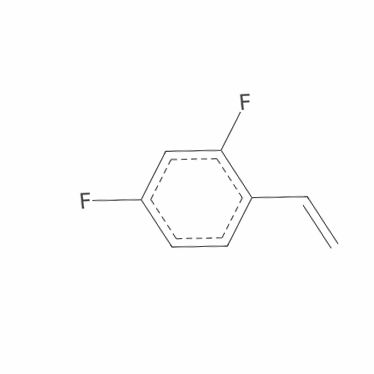 C=Cc1ccc(F)cc1F